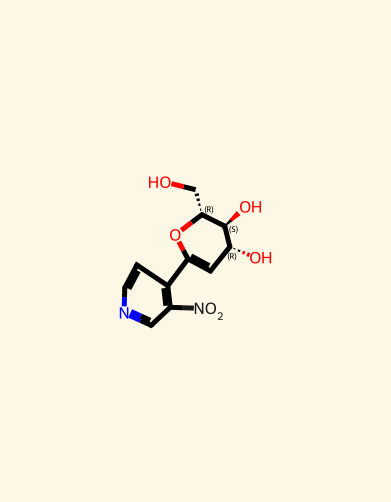 O=[N+]([O-])c1cnccc1C1=C[C@@H](O)[C@H](O)[C@@H](CO)O1